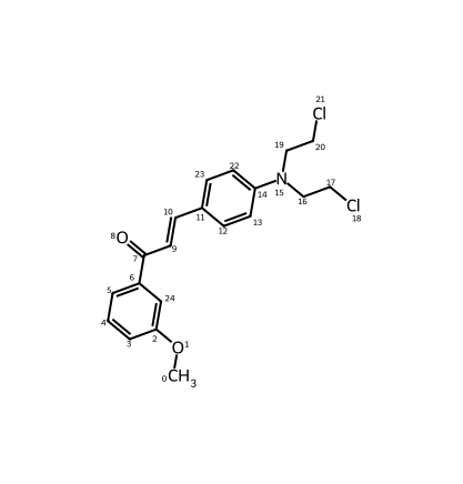 COc1cccc(C(=O)/C=C/c2ccc(N(CCCl)CCCl)cc2)c1